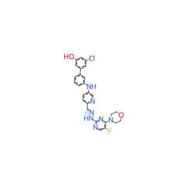 Oc1cc(Cl)cc(-c2cccc(Nc3ccc(/C=N/Nc4ncc(F)c(N5CCOCC5)n4)nc3)c2)c1